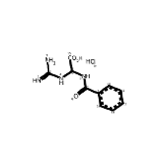 Cl.N=C(N)NC(NC(=O)c1ccccc1)C(=O)O